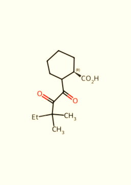 CCC(C)(C)C(=O)C(=O)C1CCCC[C@H]1C(=O)O